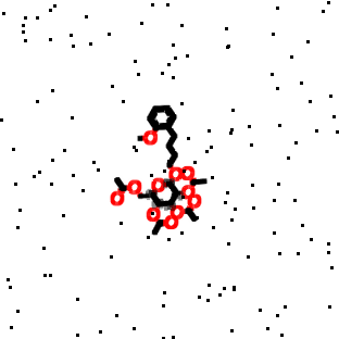 COc1ccccc1CCCCO[C@@H]1O[C@H](COC(C)=O)[C@@H](OC(C)=O)[C@H](OC(C)=O)[C@H]1OC(C)=O